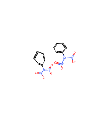 O=[N+]([O-])N(c1ccccc1)[N+](=O)[O-].O=[N+]([O-])N(c1ccccc1)[N+](=O)[O-]